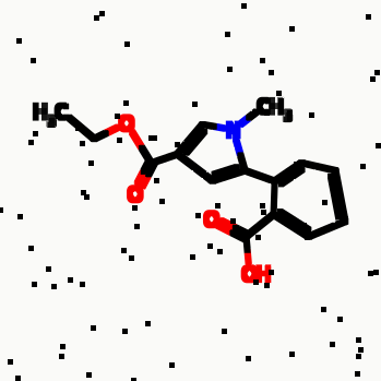 CCOC(=O)c1cc(-c2ccccc2C(=O)O)n(C)c1